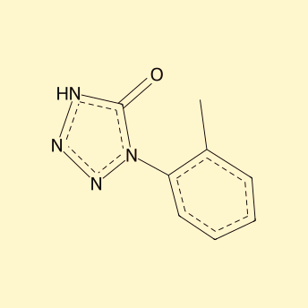 Cc1ccccc1-n1nn[nH]c1=O